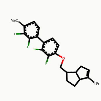 CCCC1=CCC2C(COc3ccc(-c4ccc(OC)c(F)c4F)c(F)c3F)CCC12